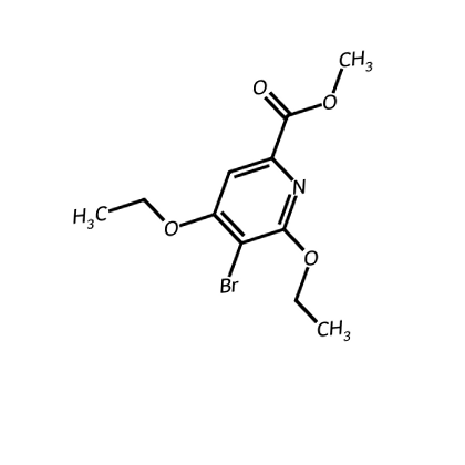 CCOc1cc(C(=O)OC)nc(OCC)c1Br